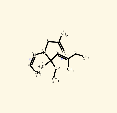 C/C=N\N(CC(N)=O)C(C)(/C=C(\C)CC)OC